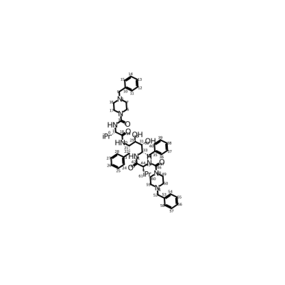 CC(C)[C@H](NC(=O)N1CCN(Cc2ccccc2)CC1)C(=O)N[C@@H](Cc1ccccc1)[C@@H](O)[C@H](O)[C@H](Cc1ccccc1)NC(=O)[C@@H](NC(=O)N1CCN(Cc2ccccc2)CC1)C(C)C